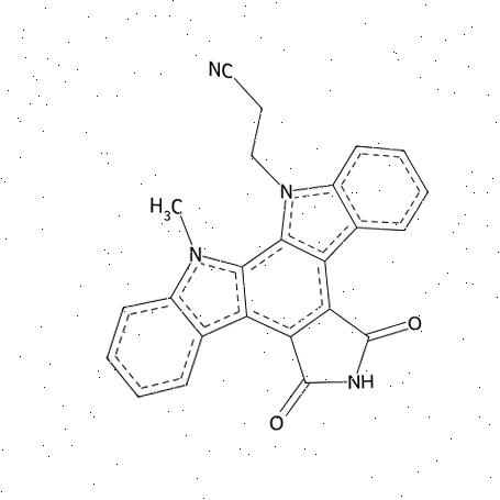 Cn1c2ccccc2c2c3c(c4c5ccccc5n(CCC#N)c4c21)C(=O)NC3=O